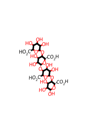 O=C(O)C1OC(OC2C(O)C(O)[C@@H](OC3C(C(=O)O)OC(OC4C(O)C(O)[C@@H](O)O[C@H]4C(=O)O)C(O)C3O)O[C@H]2C(=O)O)C(O)C(O)C1O